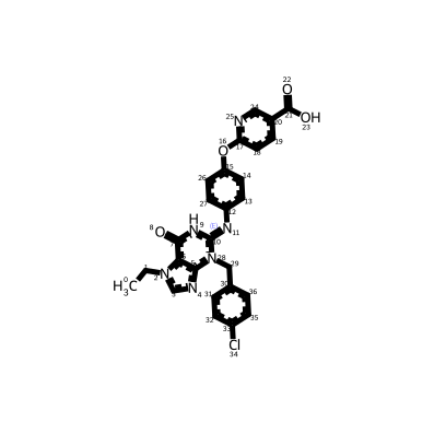 CCn1cnc2c1c(=O)[nH]/c(=N\c1ccc(Oc3ccc(C(=O)O)cn3)cc1)n2Cc1ccc(Cl)cc1